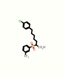 O=C(O)C(CCCCCc1ccc(Cl)cc1)S(=O)(=O)c1cccc(C(F)(F)F)c1